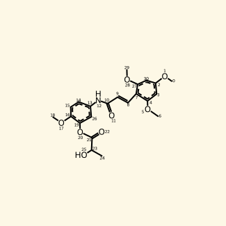 COc1cc(OC)c(C=CC(=O)Nc2ccc(OC)c(OC(=O)C(C)O)c2)c(OC)c1